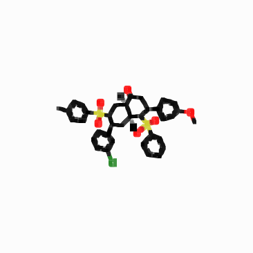 COc1ccc([C@@H]2CC(=O)[C@@H]3CC(S(=O)(=O)c4ccc(C)cc4)[C@H](c4cccc(Cl)c4)C[C@@H]3C2S(=O)(=O)c2ccccc2)cc1